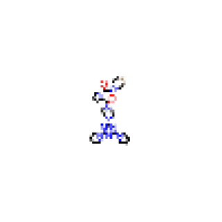 O=C(C1CCCN1C(=O)CN1CCSCC1)N1CCN(c2nc(N3CCCC3)nc(N3CCCC3)n2)CC1